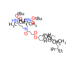 CC[C@H](CC[C@@H](C)[C@H]1CC[C@H]2[C@@H]3CC=C4C[C@@H](OC(=O)CCC(=O)N(CCCC(C)(C)NC(=O)OC(C)(C)C)CCC(C)(C)NC(=O)OC(C)(C)C)CC[C@]4(C)[C@H]3CC[C@]12C)C(C)C